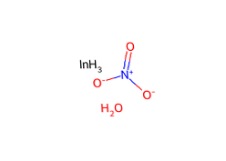 O.O=[N+]([O-])[O-].[InH3]